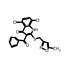 Cc1cc(CSc2[nH]c3c(Cl)ccc(Cl)c3c(=O)c2C(=O)c2ccccc2)no1